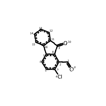 O=Cc1c(Cl)ccc2c1C(=O)c1ccccc1-2